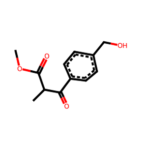 COC(=O)C(C)C(=O)c1ccc(CO)cc1